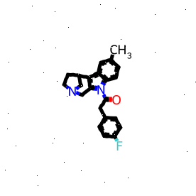 Cc1ccc2c(c1)c1c(n2C(=O)Cc2ccc(F)cc2)CN2CCC1C2